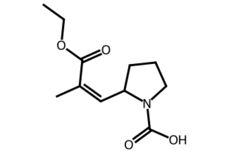 CCOC(=O)C(C)=CC1CCCN1C(=O)O